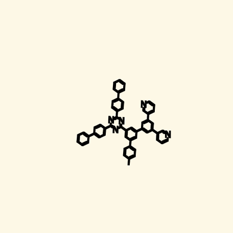 Cc1ccc(-c2cc(-c3cc(-c4cccnc4)cc(-c4cccnc4)c3)cc(-c3nc(-c4ccc(-c5ccccc5)cc4)nc(-c4ccc(-c5ccccc5)cc4)n3)c2)cc1